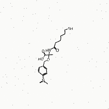 CN(C)c1ccc(COC(C)(NC(=O)CCCCCS)C(=O)O)cc1